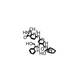 Cn1[nH]c(=O)c2ccc(Nc3cc(N[C@H](CO)c4ccccc4)c(C(=O)NC4(CO)CC5CCC(C4)N5)cn3)nc21